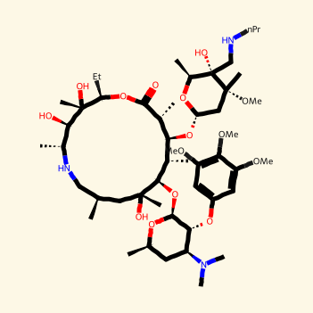 CCCNC[C@]1(O)[C@H](C)O[C@@H](O[C@H]2[C@H](C)[C@@H](O[C@@H]3O[C@H](C)C[C@H](N(C)C)[C@H]3Oc3cc(OC)c(OC)c(OC)c3)[C@](C)(O)C[C@@H](C)CN[C@H](C)[C@@H](O)[C@](C)(O)[C@@H](CC)OC(=O)[C@@H]2C)C[C@@]1(C)OC